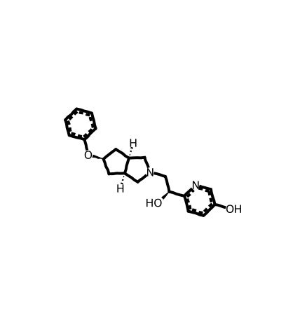 Oc1ccc([C@@H](O)CN2C[C@H]3C[C@@H](Oc4ccccc4)C[C@H]3C2)nc1